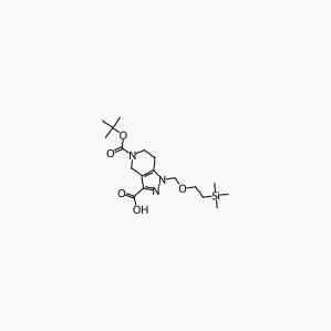 CC(C)(C)OC(=O)N1CCc2c(c(C(=O)O)nn2COCC[Si](C)(C)C)C1